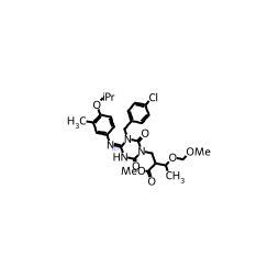 COCOC(C)C(Cn1c(=O)[nH]/c(=N/c2ccc(OC(C)C)c(C)c2)n(Cc2ccc(Cl)cc2)c1=O)C(=O)OC